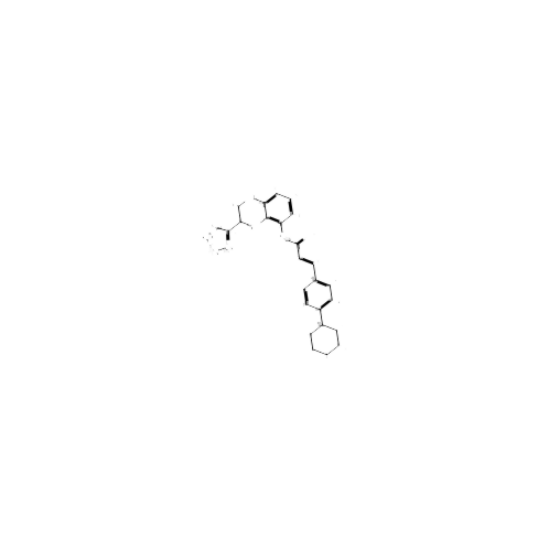 O=C(/C=C/c1ccc(C2CCCCC2)cc1)Nc1cccc2c1OC(c1nnn[nH]1)CO2